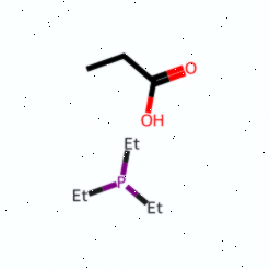 CCC(=O)O.CCP(CC)CC